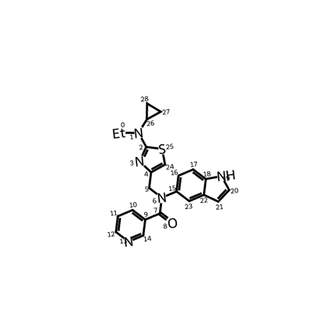 CCN(c1nc(CN(C(=O)c2cccnc2)c2ccc3[nH]ccc3c2)cs1)C1CC1